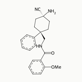 COc1ccccc1C(=O)NC[C@]1(c2ccccc2)CC[C@@](N)(C#N)CC1